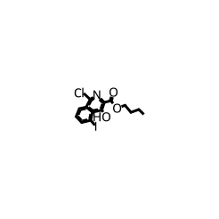 CCCCOC(=O)c1nc(Cl)c2cccc(I)c2c1O